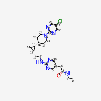 CCNC(=O)Cc1cnc(NCC[C@@H]2C[C@@H]2C2CCN(c3ncc(Cl)cn3)CC2)nc1